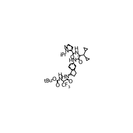 CC(C)n1nccc1C(=O)N[C@H](C(=O)Nc1ccc2c(c1)CC[C@H]2NC(=O)C(NC(=O)OC(C)(C)C)C(F)(F)F)C(C1CC1)C1CC1